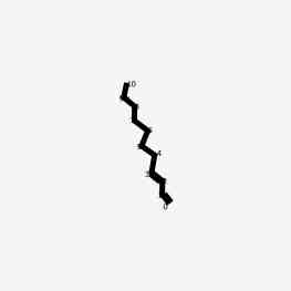 C=CC=CCCCCC[CH]C